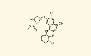 COC(=O)[C@H]1C[C@H](Oc2cc3c(Nc4cccc(Cl)c4F)ncnc3cc2OC)CN1.Cl